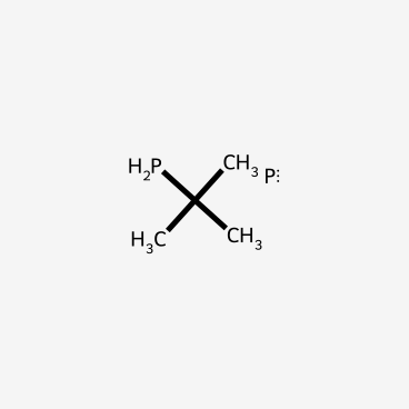 CC(C)(C)P.[P]